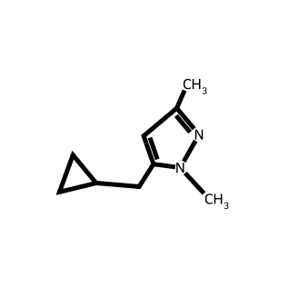 Cc1cc(CC2CC2)n(C)n1